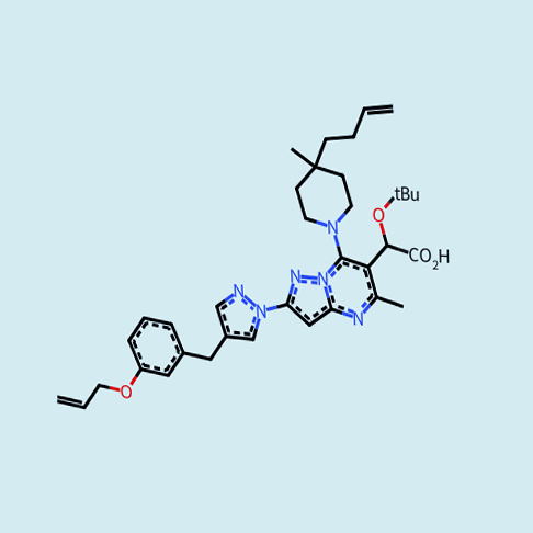 C=CCCC1(C)CCN(c2c(C(OC(C)(C)C)C(=O)O)c(C)nc3cc(-n4cc(Cc5cccc(OCC=C)c5)cn4)nn23)CC1